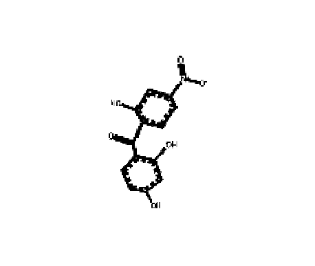 O=C(c1ccc(O)cc1O)c1ccc([N+](=O)[O-])cc1O